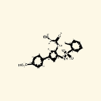 Cc1ccccc1S(=O)(=O)Nc1cc(-c2ccc(C(=O)O)cc2)sc1OC(=O)OC(C)(C)C